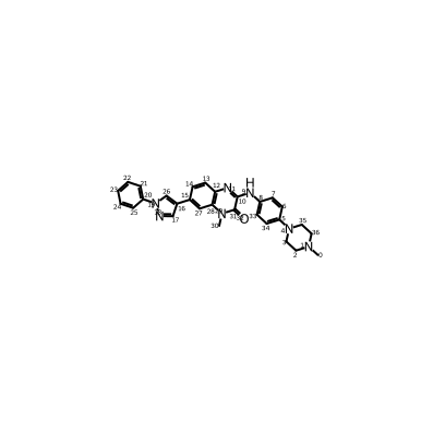 CN1CCN(c2ccc(Nc3nc4ccc(-c5cnn(-c6ccccc6)c5)cc4n(C)c3=O)cc2)CC1